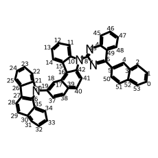 c1ccc2cc(-c3nc(-n4c5ccccc5c5c6cc(-n7c8ccccc8c8ccc9ccccc9c87)ccc6ccc54)nc4ccccc34)ccc2c1